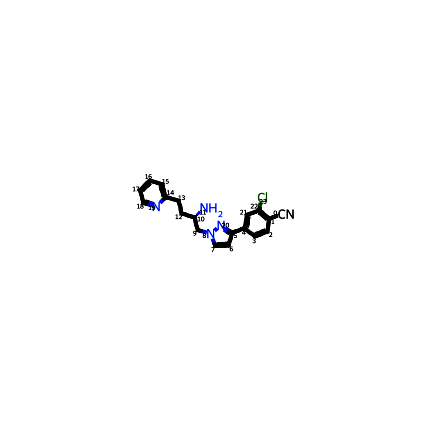 N#Cc1ccc(-c2ccn(C[C@H](N)CCc3ccccn3)n2)cc1Cl